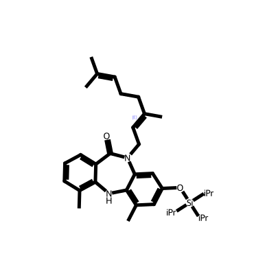 CC(C)=CCC/C(C)=C/CN1C(=O)c2cccc(C)c2Nc2c(C)cc(O[Si](C(C)C)(C(C)C)C(C)C)cc21